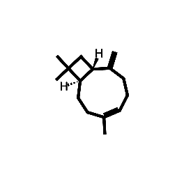 C=C1CCC=C(C)CC[C@@H]2[C@@H]1CC2(C)C